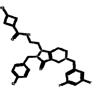 O=C(NCCn1c2c(c(=O)n1Cc1ccc(Cl)cc1)CN(Cc1cc(F)cc(F)c1)CC2)C1CC(O)C1